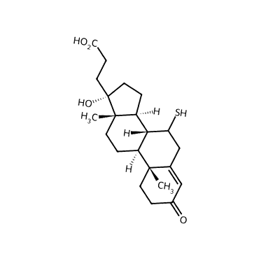 C[C@]12CCC(=O)C=C1CC(S)[C@@H]1[C@@H]2CC[C@@]2(C)[C@H]1CC[C@]2(O)CCC(=O)O